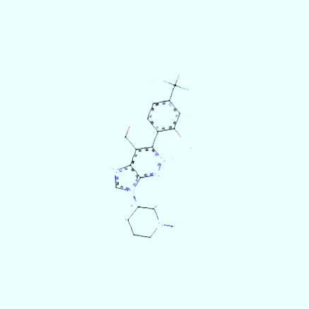 CN1CCC[C@@H](n2cnc3c(CO)c(-c4ccc(C(F)(F)F)cc4O)nnc32)C1